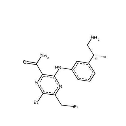 CCc1nc(C(N)=O)c(Nc2cccc([C@@H](C)CN)c2)nc1CC(C)C